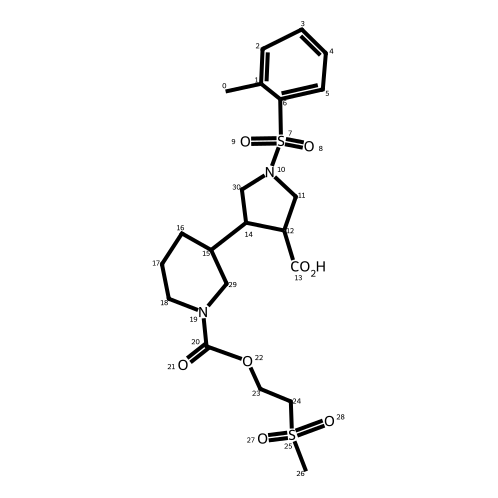 Cc1ccccc1S(=O)(=O)N1CC(C(=O)O)C(C2CCCN(C(=O)OCCS(C)(=O)=O)C2)C1